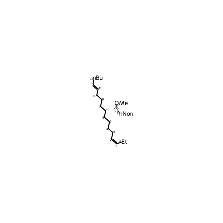 CC/C=C\CCCCCCCC/C=C/CCCC.CCCCCCCCCOOC